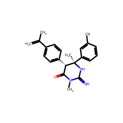 C=C(C)c1ccc([C@H]2C(=O)N(C)C(=N)N[C@]2(C)c2cccc(C#N)c2)cc1